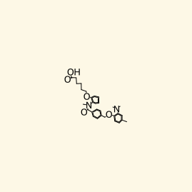 Cc1ccc(OCc2ccc(C(=O)N(C)c3ccccc3OCCCCCC(=O)O)cc2)c(N(C)C)c1